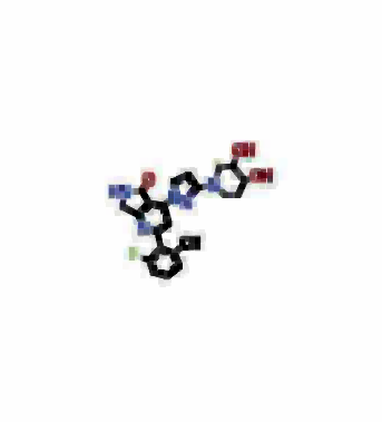 N#Cc1cccc(F)c1-c1cc(-n2ccc(N3CCC(O)C(O)C3)n2)c2c(n1)CNC2=O